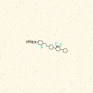 CCCCCCC1CCC(CCC2CCC(C3CCC(C4CCCCC4)C(F)[C@H]3F)CC2)C(F)C1